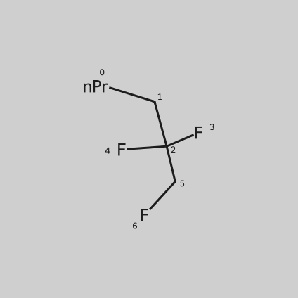 CCCCC(F)(F)CF